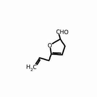 C=CCC1=CCC(C=O)O1